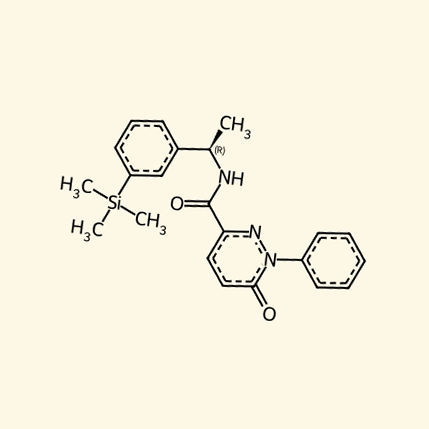 C[C@@H](NC(=O)c1ccc(=O)n(-c2ccccc2)n1)c1cccc([Si](C)(C)C)c1